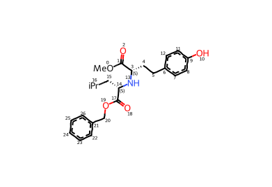 COC(=O)[C@H](CCc1ccc(O)cc1)N[C@@H](CC(C)C)C(=O)OCc1ccccc1